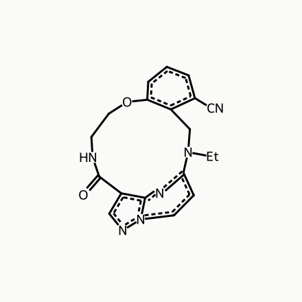 CCN1Cc2c(C#N)cccc2OCCNC(=O)c2cnn3ccc1nc23